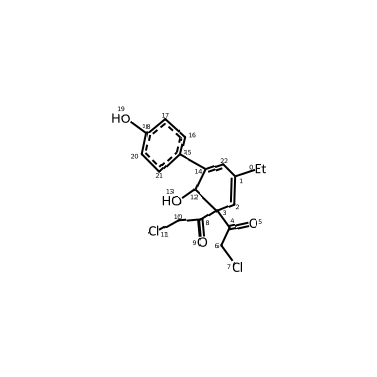 CCC1=CC(C(=O)CCl)(C(=O)CCl)C(O)C(c2ccc(O)cc2)=C1